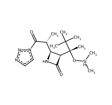 C[C@@H](C(=O)n1ccnn1)[C@@H]1NC(=O)[C@@H]1[C@@](C)(O[SiH](C)C)C(C)(C)C